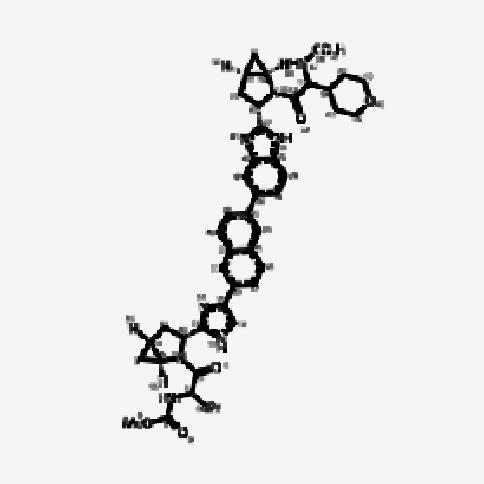 COC(=O)NC(C(=O)N1[C@@H]2C[C@@H]2C[C@H]1c1nc(-c2ccc3cc(-c4ccc5[nH]c([C@@H]6C[C@H]7C[C@H]7N6C(=O)C(NC(=O)O)C6CCOCC6)nc5c4)ccc3c2)c[nH]1)C(C)C